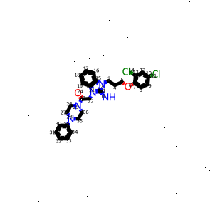 N=c1n(CCCOc2ccc(Cl)cc2Cl)c2ccccc2n1CC(=O)N1CCN(c2ccccc2)CC1